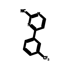 N#Cc1nccc(-c2cccc(C(F)(F)F)c2)n1